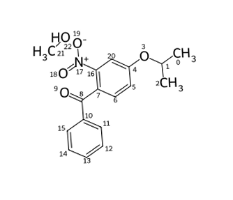 CC(C)Oc1ccc(C(=O)c2ccccc2)c([N+](=O)[O-])c1.CO